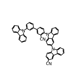 N#Cc1ccc2c(c1)c1ccccc1n2-c1ccc2c(c1)c1ccccc1n2-c1ccc(-c2cccc(-n3c4ccccc4c4ccccc43)c2)cc1C#N